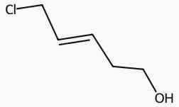 OCCC=CCCl